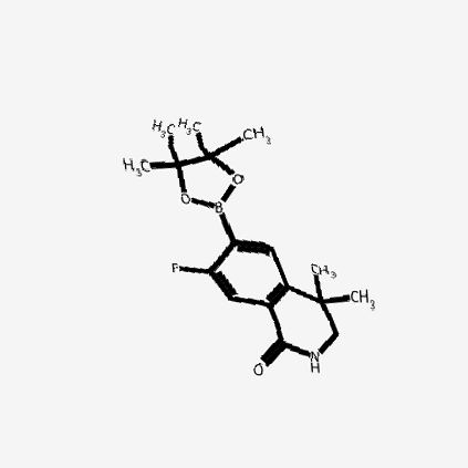 CC1(C)CNC(=O)c2cc(F)c(B3OC(C)(C)C(C)(C)O3)cc21